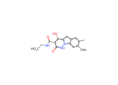 CC(=O)Oc1cc2c(cc1C)cc1c(O)c(C(=O)NCC(=O)O)c(=O)[nH]n12